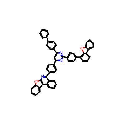 c1ccc(-c2ccc(-c3cc(-c4ccc(-c5nc6oc7ccccc7c6c6ccccc56)cc4)nc(-c4ccc(-c5cccc6c5oc5ccccc56)cc4)n3)cc2)cc1